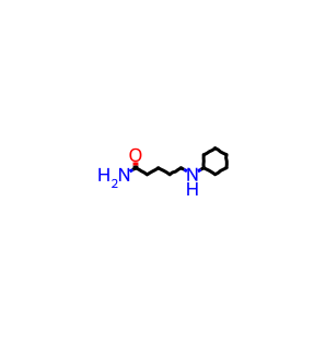 NC(=O)CCCCNC1CCCCC1